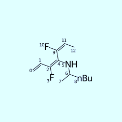 C=C/C(F)=C(NC(C)CCCC)\C(F)=C/C